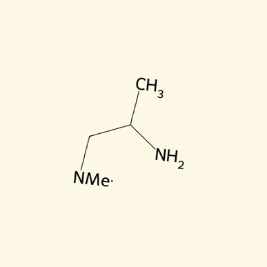 C[N]CC(C)N